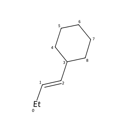 [CH2]C/C=C/C1CCCCC1